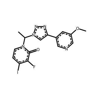 COc1cncc(-c2cn(C(C)n3ccc(I)c(F)c3=O)nn2)c1